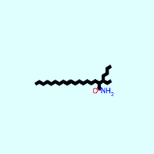 CCCCCCCCC=CCCCCCCC(C(N)=O)C(CC)CCCC